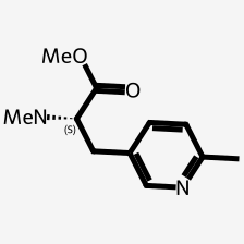 CN[C@@H](Cc1ccc(C)nc1)C(=O)OC